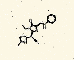 CCn1c(=C(C#N)c2nc(C)cs2)sc(=CNc2ccccc2)c1=O